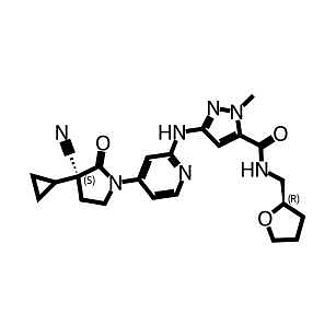 Cn1nc(Nc2cc(N3CC[C@@](C#N)(C4CC4)C3=O)ccn2)cc1C(=O)NC[C@H]1CCCO1